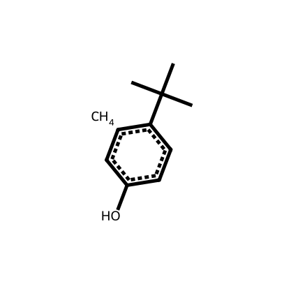 C.CC(C)(C)c1ccc(O)cc1